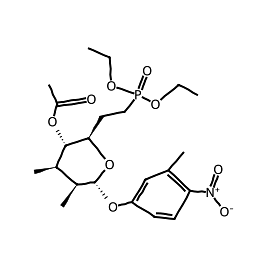 CCOP(=O)(CC[C@H]1O[C@H](Oc2ccc([N+](=O)[O-])c(C)c2)[C@@H](C)[C@@H](C)[C@@H]1OC(C)=O)OCC